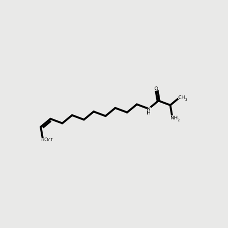 CCCCCCCC/C=C\CCCCCCCCNC(=O)C(C)N